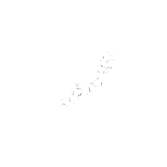 Cc1sc2ccc(C(=O)NS(=O)(=O)c3ccccc3)cc2c1Cc1ccc(-c2ccccc2)cc1Cl